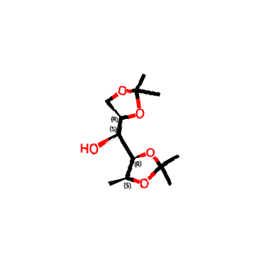 C[C@@H]1OC(C)(C)O[C@@H]1[C@@H](O)[C@H]1COC(C)(C)O1